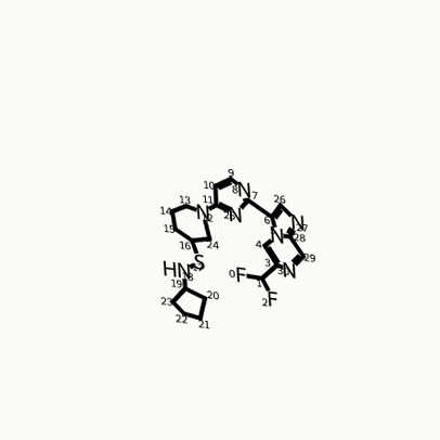 FC(F)c1cn2c(-c3nccc(N4CCCC(SNC5CCCC5)C4)n3)cnc2cn1